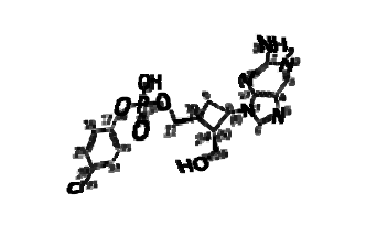 Nc1ncc2ncn([C@@H]3C[C@H](COP(=O)(O)Oc4ccc(Cl)cc4)[C@@H]3CO)c2n1